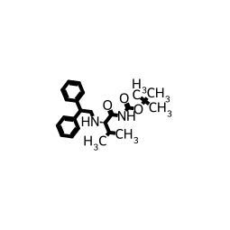 CC(C)[C@H](NCC(c1ccccc1)c1ccccc1)C(=O)NC(=O)OC(C)(C)C